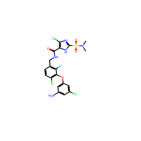 CN(C)S(=O)(=O)c1nc(Cl)c(C(=O)NCc2ccc(Cl)c(Oc3cc(N)cc(Cl)c3)c2F)[nH]1